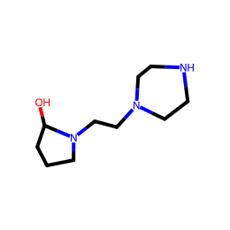 OC1CCCN1CCN1CCNCC1